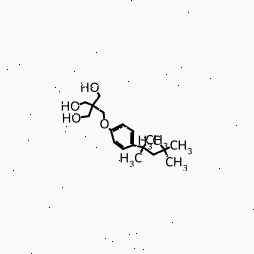 CC(C)(C)CC(C)(C)c1ccc(OCC(CO)(CO)CO)cc1